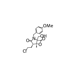 COc1ccc(CN2C(=O)[C@H](CCCl)[C@@]3(C)OC(=O)C23CO)cc1